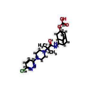 CC(C)(C(=O)NC1C2CC3CC1CC(OC(=O)O)(C3)C2)N1CCN(c2ccc(Cl)nn2)CC1